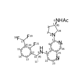 CC(=O)N[C@@H]1CCN(c2cc3c(N[C@H](C)c4cccc(C(F)F)c4F)ccnc3cn2)C1